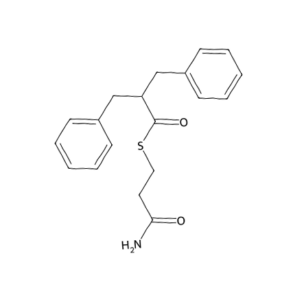 NC(=O)CCSC(=O)C(Cc1ccccc1)Cc1ccccc1